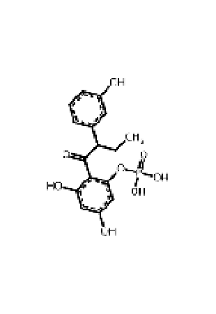 CCC(C(=O)c1c(O)cc(O)cc1OP(=O)(O)O)c1cccc(O)c1